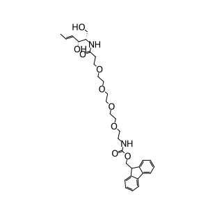 C/C=C/[C@@H](O)[C@H](CO)NC(=O)CCOCCOCCOCCOCCNC(=O)OCC1c2ccccc2-c2ccccc21